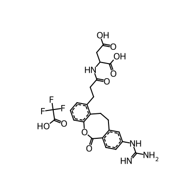 N=C(N)Nc1ccc2c(c1)CCc1c(CCC(=O)NC(CC(=O)O)C(=O)O)cccc1OC2=O.O=C(O)C(F)(F)F